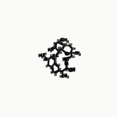 COc1ccc2cc(C(C)C(=O)O)ccc2c1.Cc1cc(C)c2c(c1C)OC(C)(CO)CC2